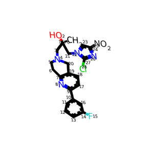 C[C@](O)(CN1CCc2nc(-c3cccc(F)c3)ccc2C1)Cn1cc([N+](=O)[O-])nc1Cl